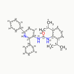 CC(C)c1cccc(C(C)C)c1NC(=O)Nc1ccc(-c2ccccc2)nc1-c1ccccc1